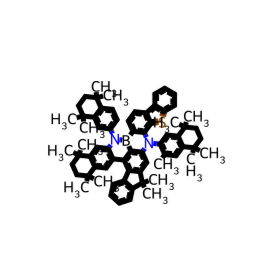 Cc1cc2c(cc1N1c3cc4c(c5c3B(c3ccc6c(sc7ccccc76)c31)N(c1ccc3c(c1)C(C)(C)CCC3(C)C)c1cc3c(cc1-5)C(C)(C)CCC3(C)C)-c1ccccc1C4(C)C)C(C)(C)CCC2(C)C